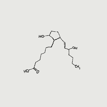 CCCCC(O)/C=C/C1CCC(O)C1CCCCCCC(=O)O